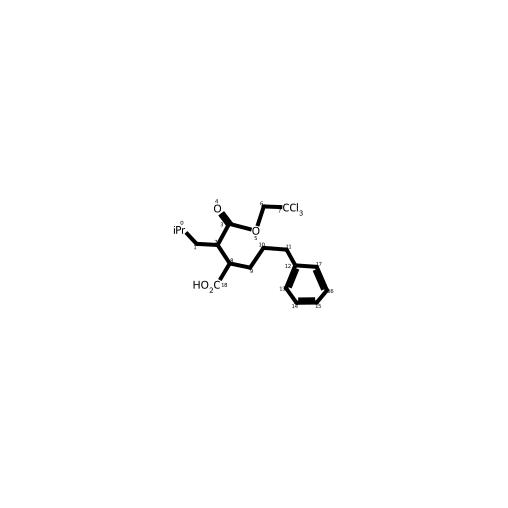 CC(C)CC(C(=O)OCC(Cl)(Cl)Cl)C(CCCc1ccccc1)C(=O)O